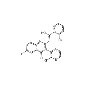 N#Cc1cccnc1C(O)=Cc1nc2ccc(F)cc2c(=O)n1-c1cccnc1Cl